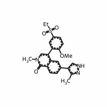 CCS(=O)(=O)c1ccc(OC)c(-c2cn(C)c(=O)c3ccc(-c4c[nH]nc4C)cc23)c1